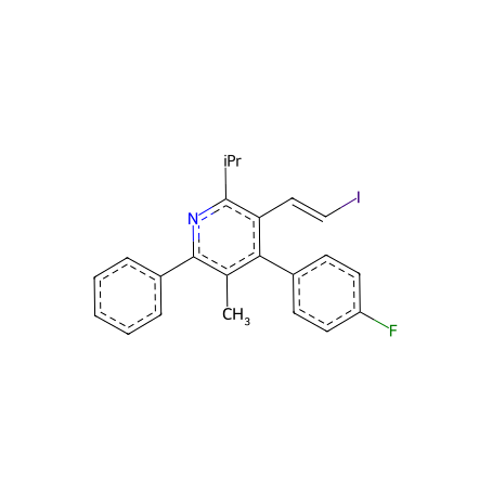 Cc1c(-c2ccccc2)nc(C(C)C)c(C=CI)c1-c1ccc(F)cc1